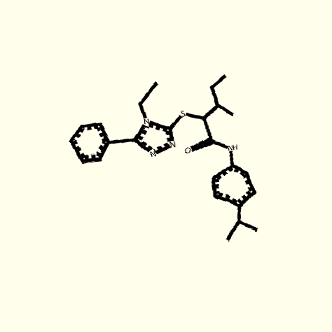 CCC(C)C(Sc1nnc(-c2ccccc2)n1CC)C(=O)Nc1ccc(C(C)C)cc1